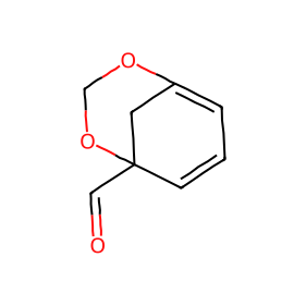 O=CC12C=CC=C(C1)OCO2